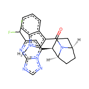 Cn1cc(C(=O)N2[C@H]3CC[C@H](c4cc(C(F)F)nc5ncnn45)[C@@H]2CC3)c2ccccc21